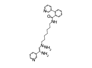 N/C(=C\N(N)CCCCCCCNC(=O)c1ccccc1-c1cccnc1)c1cccnc1